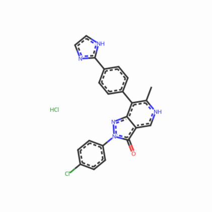 Cc1[nH]cc2c(=O)n(-c3ccc(Cl)cc3)nc-2c1-c1ccc(-c2ncc[nH]2)cc1.Cl